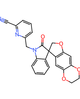 N#Cc1cccc(CN2C(=O)C3(COc4cc5c(cc43)OCCO5)c3ccccc32)n1